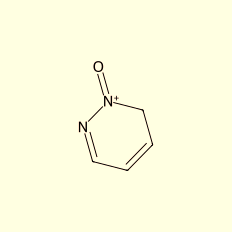 O=[N+]1CC=CC=N1